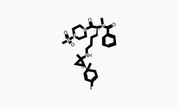 CN(C(=O)c1ccccc1)[C@@H](CCCCNC1(C)C[C@H]1C1(C)C=CC(F)=CC1)C(=O)N1CCN(S(C)(=O)=O)CC1